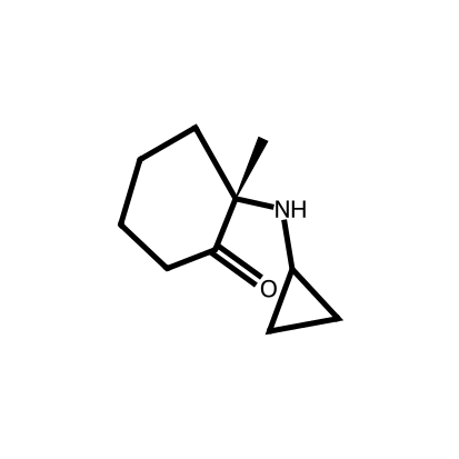 C[C@]1(NC2CC2)CCCCC1=O